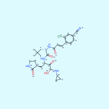 CC(C)(C)C[C@H](NC(=O)/C=C/c1ccc(C#N)cc1Cl)C(=O)NC(C[C@@H]1CCNC1=O)C(=O)C(O)NC1CC1